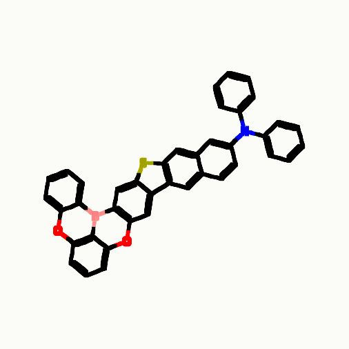 c1ccc(N(c2ccccc2)c2ccc3cc4c(cc3c2)sc2cc3c(cc24)Oc2cccc4c2B3c2ccccc2O4)cc1